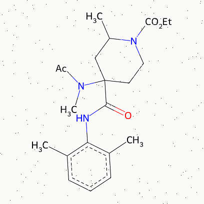 CCOC(=O)N1CCC(C(=O)Nc2c(C)cccc2C)(N(C)C(C)=O)CC1C